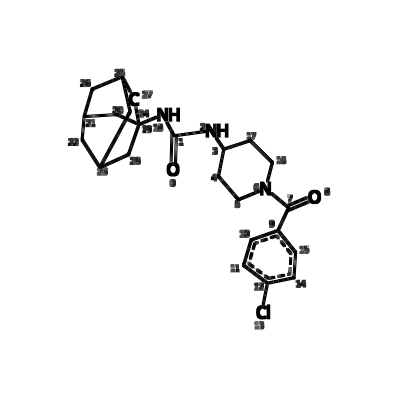 O=C(NC1CCN(C(=O)c2ccc(Cl)cc2)CC1)NC12CC3CC(CC(C3)C1)C2